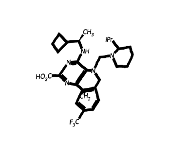 C=Nc1nc(C(=O)O)nc(N[C@H](C)C2CCC2)c1N(Cc1ccc(C(F)(F)F)cc1)CN1CCCCC1C(C)C